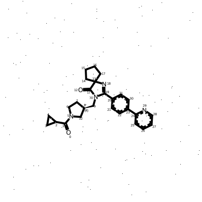 O=C(C1CC1)N1CC[C@@H](CN2C(=O)C3(CCCC3)N=C2c2ccc(-c3ccccn3)cc2)C1